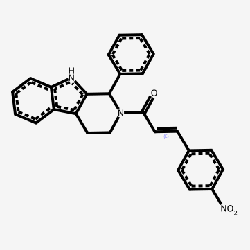 O=C(/C=C/c1ccc([N+](=O)[O-])cc1)N1CCc2c([nH]c3ccccc23)C1c1ccccc1